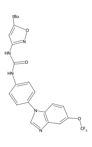 CC(C)(C)c1cc(NC(=O)Nc2ccc(-n3cnc4cc(OC(F)(F)F)ccc43)cc2)no1